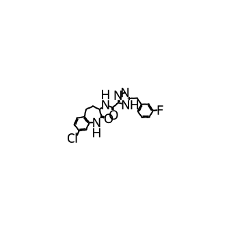 O=C(NC1CCc2ccc(Cl)cc2NC1=O)c1nnc(Cc2cccc(F)c2)[nH]1